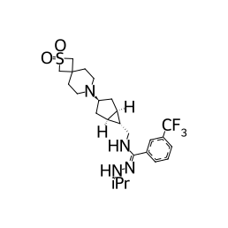 CC(C)N/N=C(\NC[C@@H]1[C@H]2C[C@@H](N3CCC4(CC3)CS(=O)(=O)C4)C[C@@H]12)c1cccc(C(F)(F)F)c1